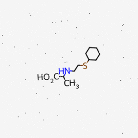 C[C@H](NCCSC1CCCCC1)C(=O)O